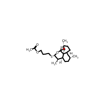 CC(=O)OCCCS[C@@H]1O[C@@H]2O[C@]3(C)CC[C@H]4[C@H](C)CC[C@@H]([C@H]1C)[C@@]24OO3